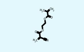 C=C(C)C(=O)OCCOC(=O)C(=C)C#N